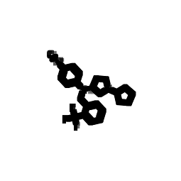 [C-]#[N+]c1ccc(N(Cc2ccccc2C(F)(F)F)[C@H]2CCN(C3CCCC3)C2)cc1